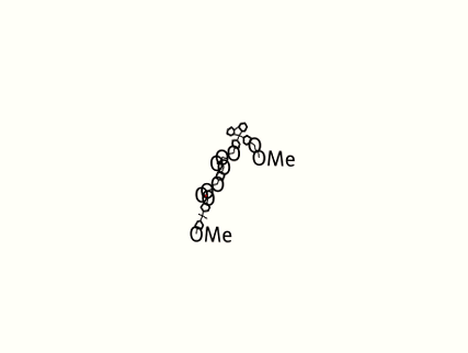 COCCOc1ccc(C2(c3ccc(OCCOC(=O)Oc4ccc(OCCOC(=O)Oc5ccc(C(C)(C)c6ccc(OC)cc6)cc5)cc4)cc3)c3ccccc3-c3ccccc32)cc1